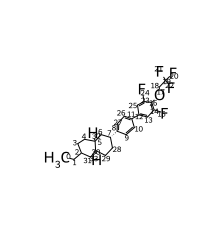 CCC1CC[C@@H]2C[C@H](c3ccc(-c4cc(F)c(OCC(F)(F)F)c(F)c4)cc3)CC[C@@H]2C1